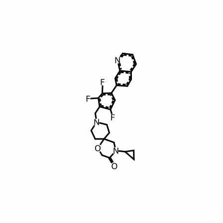 O=C1COC2(CCN(Cc3c(F)cc(-c4ccc5cccnc5c4)c(F)c3F)CC2)CN1C1CC1